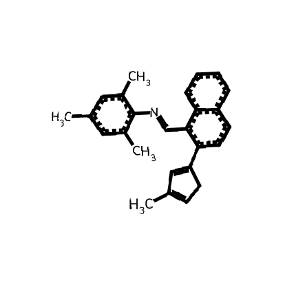 CC1=CCC(c2ccc3ccccc3c2/C=N/c2c(C)cc(C)cc2C)=C1